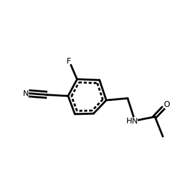 CC(=O)NCc1ccc(C#N)c(F)c1